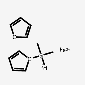 [2H][Si](C)(C)[c-]1cccc1.[Fe+2].c1cc[cH-]c1